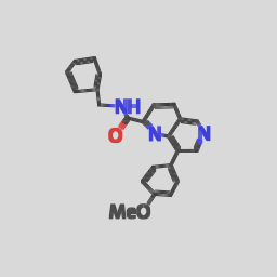 COc1ccc(-c2cncc3ccc(C(=O)NCc4ccccc4)nc23)cc1